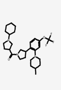 CC1CCN(c2cc(OC(F)(F)F)ccc2C2CCN(C(=O)C3CCN(C4CCCCC4)C3)C2)CC1